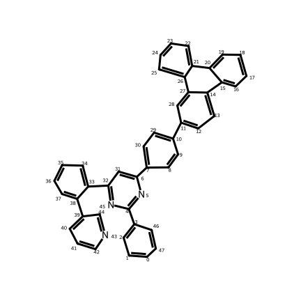 c1ccc(-c2nc(-c3ccc(-c4ccc5c6ccccc6c6ccccc6c5c4)cc3)cc(-c3ccccc3-c3cccnc3)n2)cc1